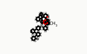 CC12CC3C[C@H](C1)C1(c4ccccc4C4(c5ccccc5-c5ccccc54)c4ccc(N(c5ccc(-c6ccccc6-c6cccc7sc8ccccc8c67)cc5)c5ccccc5-c5ccccc5)cc41)[C@H](C3)C2